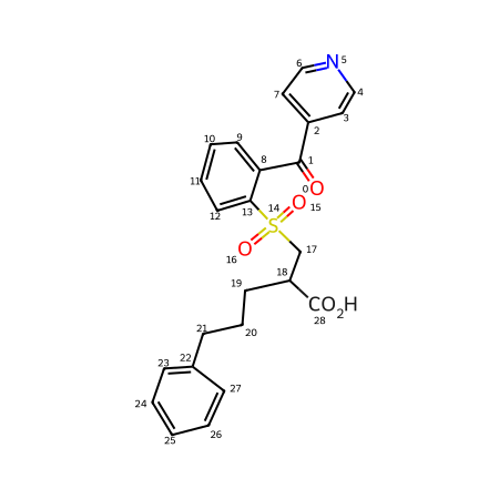 O=C(c1ccncc1)c1ccccc1S(=O)(=O)CC(CCCc1ccccc1)C(=O)O